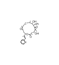 CCCC1C(=O)C(C)(C)C(O)CC(=O)OC(/C(C)=C/c2ccccn2)CC2OC2(C)CCCC(C)C1O